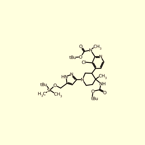 CN(C(=O)OC(C)(C)C)c1nccc(C2CN(c3cc(CO[Si](C)(C)C(C)(C)C)[nH]n3)CCC2(C)NC(=O)OC(C)(C)C)c1Cl